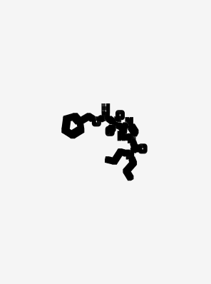 CCCN(CCC)C(=O)n1cnc(S(=O)(=O)NOCc2ccccc2)n1